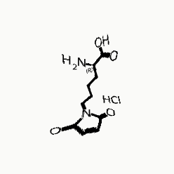 Cl.N[C@H](CCCCN1C(=O)C=CC1=O)C(=O)O